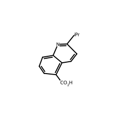 CC(C)c1ccc2c(C(=O)O)cccc2n1